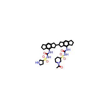 CC(=O)N1CCCC(S(=O)(=O)NC(=O)Nc2c3c(cc4c2CC(C2Cc5cc6c(c(NC(=O)NS(=O)(=O)C7CCNC7)c5C2)CCC6)C4)CCC3)C1